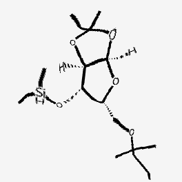 C[SiH](C)O[C@@H]1[C@H]2OC(C)(C)O[C@H]2O[C@@H]1COC(C)(C)C